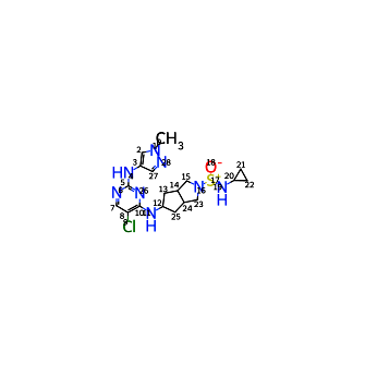 Cn1cc(Nc2ncc(Cl)c(NC3CC4CN([S+]([O-])NC5CC5)CC4C3)n2)cn1